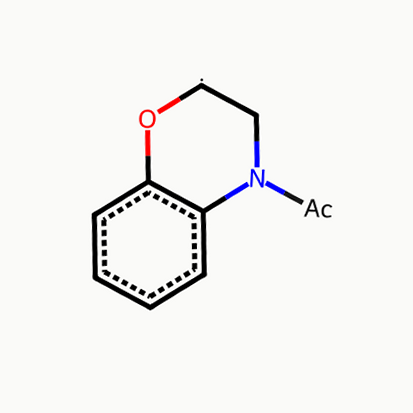 CC(=O)N1C[CH]Oc2ccccc21